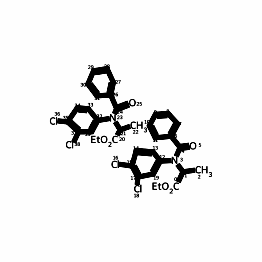 CCOC(=O)C(C)N(C(=O)c1ccccc1)c1ccc(Cl)c(Cl)c1.CCOC(=O)C(C)N(C(=O)c1ccccc1)c1ccc(Cl)c(Cl)c1